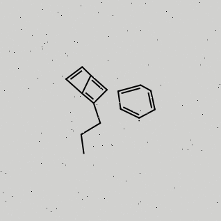 CCCc1cc2ccc1-2.[c]1ccccc1